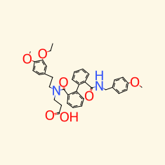 CCOc1cc(CCN(CCC(=O)O)C(=O)c2ccccc2-c2ccccc2C(=O)NCc2ccc(OC)cc2)ccc1OC